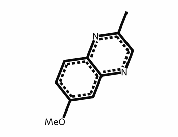 COc1ccc2nc(C)cnc2c1